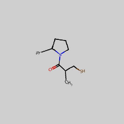 CC(CS)C(=O)N1CCCC1C(C)C